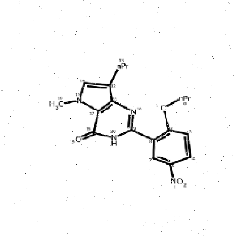 CCCOc1ccc([N+](=O)[O-])cc1-c1nc2c(CCC)cn(C)c2c(=O)[nH]1